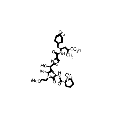 CC[C@H](C)[C@H](NC(=O)[C@H]1CCCCN1C)C(=O)N(CCOC)[C@H](C[C@@H](O)c1nc(C(=O)N[C@@H](Cc2ccc(C(F)(F)F)cc2)C[C@H](C)C(=O)O)cs1)C(C)C